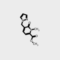 COC(=O)c1ccc(Cn2cccn2)c(=O)n1C